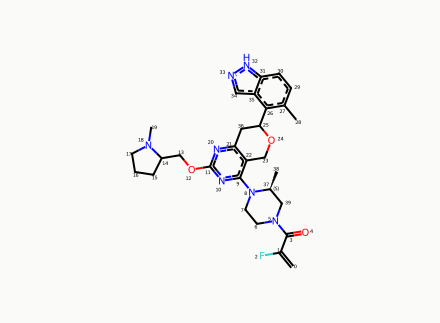 C=C(F)C(=O)N1CCN(c2nc(OCC3CCCN3C)nc3c2COC(c2c(C)ccc4[nH]ncc24)C3)[C@@H](C)C1